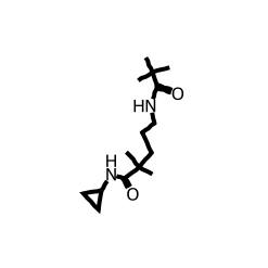 CC(C)(C)C(=O)NCCCC(C)(C)C(=O)NC1CC1